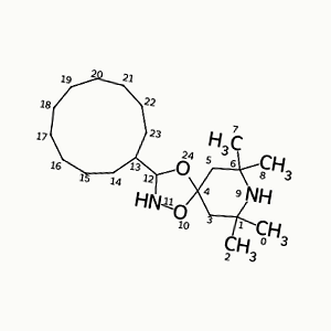 CC1(C)CC2(CC(C)(C)N1)ONC(C1CCCCCCCCCC1)O2